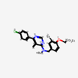 CCCCN(Cc1ccc(OCC(=O)OCC)c(CC)c1)c1ncnc(-c2ccc(Cl)cc2)c1C